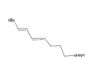 [CH2]CCCCCCCCCC=CC=CCCCC